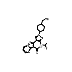 NC(=O)c1c(-c2cn(C3CCC(CO)CC3)nc2OC(F)F)nn2cccnc12